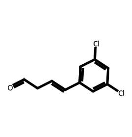 O=[C]C/C=C/c1cc(Cl)cc(Cl)c1